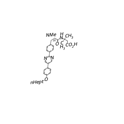 CCCCCCCOc1ccc(-c2cnc(-c3ccc(C[C@H](NC)C(=O)NC(C)(C)CC(=O)O)cc3)nc2)cc1